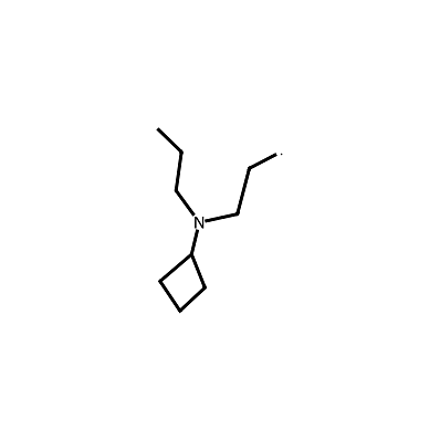 [CH2]CCN(CCC)C1CCC1